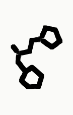 CN(CCN1CCCC1)CC1CCCCC1